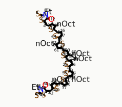 CCCCCCCCc1cc(/C=C2/SC(=S)N(CC)C2=O)sc1-c1ccc(-c2sc(-c3cc4c(s3)-c3sc(-c5cc(CCCCCCCC)c(-c6ccc(-c7sc(/C=C8/SC(=S)N(CC)C8=O)cc7CCCCCCCC)s6)s5)cc3[Si]4(CCCCCCCC)CCCCCCCC)cc2CCCCCCCC)s1